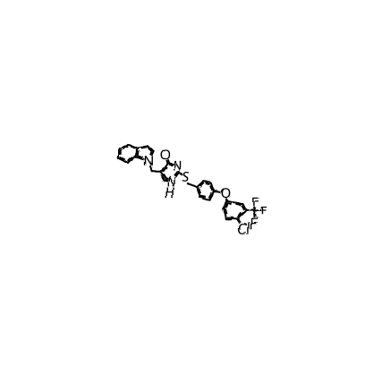 O=c1nc(SCc2ccc(Oc3ccc(Cl)c(C(F)(F)F)c3)cc2)[nH]cc1Cn1ccc2ccccc21